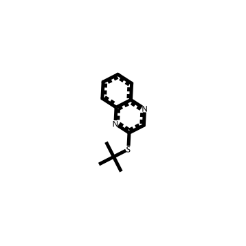 CC(C)(C)Sc1cnc2ccccc2n1